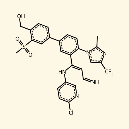 Cc1nc(C(F)(F)F)cn1-c1ccc(-c2ccc(CO)c(S(C)(=O)=O)c2)cc1/C(=C/C=N)Nc1ccc(Cl)nc1